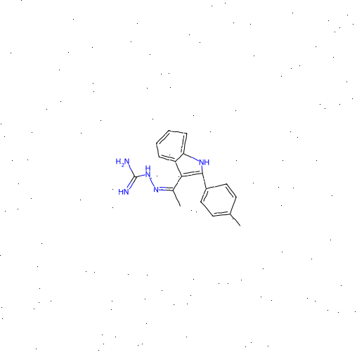 C/C(=N/NC(=N)N)c1c(-c2ccc(C)cc2)[nH]c2ccccc12